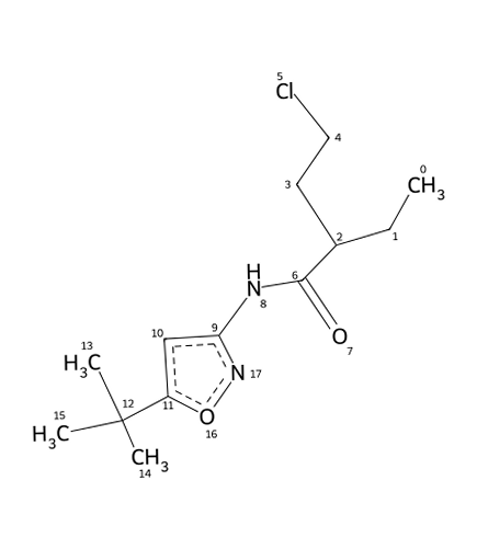 CCC(CCCl)C(=O)Nc1cc(C(C)(C)C)on1